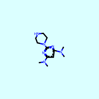 CN(C)c1cc(N(C)C)nc(N2CCNCC2)n1